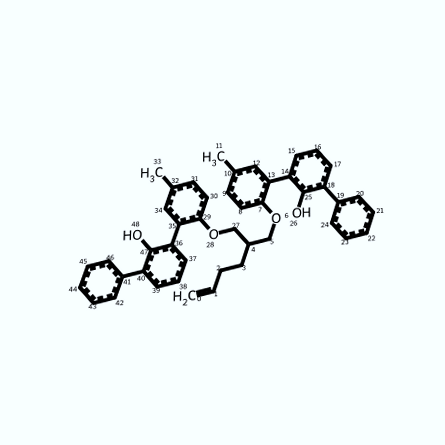 C=CCCC(COc1ccc(C)cc1-c1cccc(-c2ccccc2)c1O)COc1ccc(C)cc1-c1cccc(-c2ccccc2)c1O